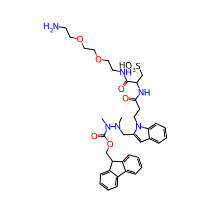 CN(Cc1cc2ccccc2n1CCC(=O)NC(CS(=O)(=O)O)C(=O)NCCOCCOCCN)N(C)C(=O)OCC1c2ccccc2-c2ccccc21